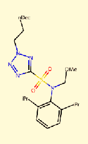 CCCCCCCCCCCCn1nnc(S(=O)(=O)N(COC)c2c(C(C)C)cccc2C(C)C)n1